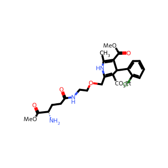 CCOC(=O)C1=C(COCCNC(=O)CC[C@H](N)C(=O)OC)NC(C)=C(C(=O)OC)C1c1ccccc1Cl